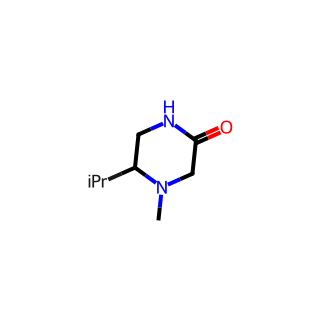 CC(C)C1CNC(=O)CN1C